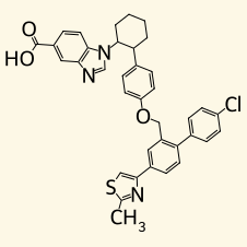 Cc1nc(-c2ccc(-c3ccc(Cl)cc3)c(COc3ccc(C4CCCCC4n4cnc5cc(C(=O)O)ccc54)cc3)c2)cs1